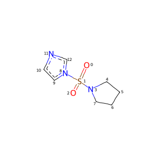 O=S(=O)(N1CCCC1)n1ccnc1